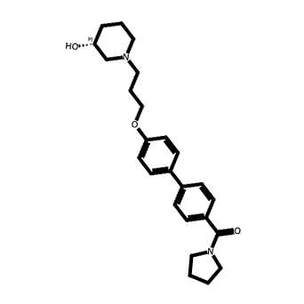 O=C(c1ccc(-c2ccc(OCCCN3CCC[C@@H](O)C3)cc2)cc1)N1CCCC1